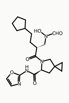 O=CN(O)C[C@@H](CCC1CCCC1)C(=O)N1CC2(CC2)C[C@H]1C(=O)Nc1ncco1